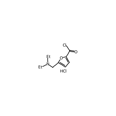 CCN(CC)Cc1ccc(C(=O)Cl)o1.Cl